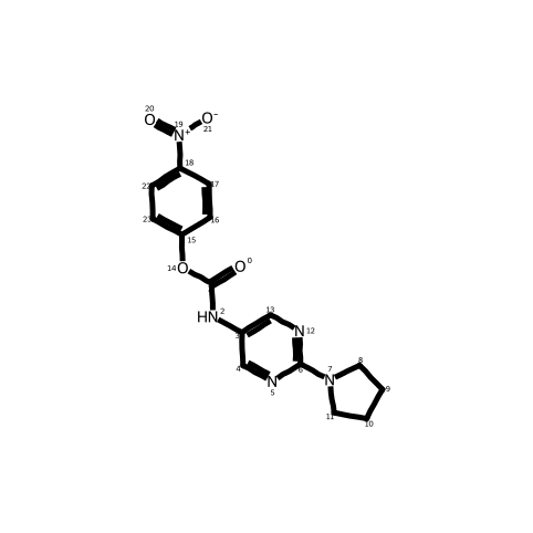 O=C(Nc1cnc(N2CCCC2)nc1)Oc1ccc([N+](=O)[O-])cc1